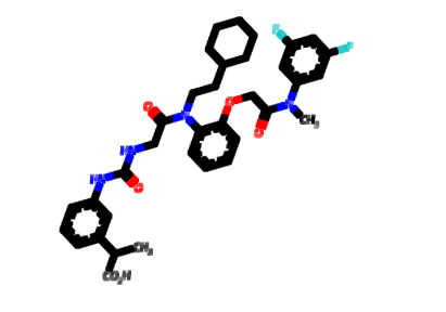 CC(C(=O)O)c1cccc(NC(=O)NCC(=O)N(CCC2CCCCC2)c2ccccc2OCC(=O)N(C)c2cc(F)cc(F)c2)c1